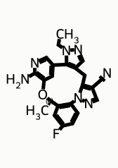 CCn1ncc2c1-c1cnc(N)c(c1)O[C@H](C)c1cc(F)ccc1-n1ncc(C#N)c1C2